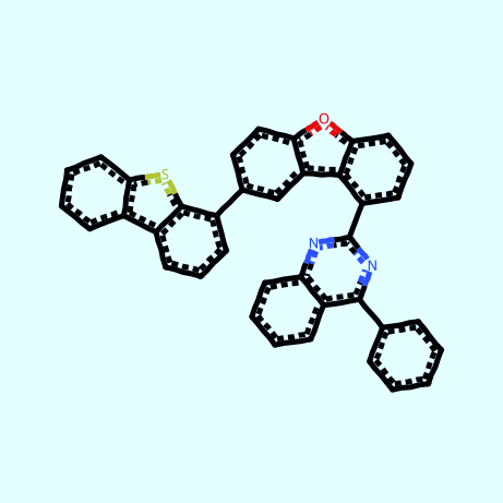 c1ccc(-c2nc(-c3cccc4oc5ccc(-c6cccc7c6sc6ccccc67)cc5c34)nc3ccccc23)cc1